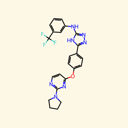 FC(F)(F)c1cccc(Nc2nnc(-c3ccc(Oc4ccnc(N5CCCC5)n4)cc3)[nH]2)c1